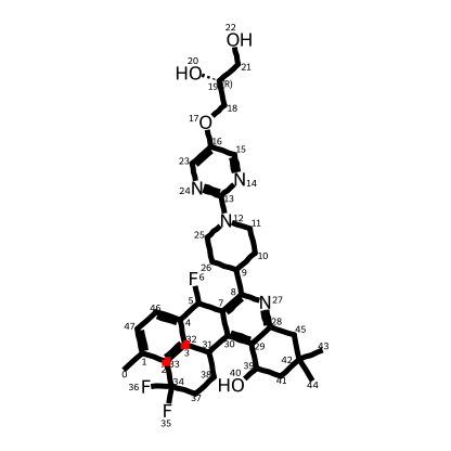 Cc1ccc(C(F)c2c(C3CCN(c4ncc(OC[C@H](O)CO)cn4)CC3)nc3c(c2C2CCC(F)(F)CC2)C(O)CC(C)(C)C3)cc1